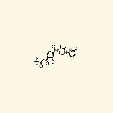 CC1C(C)N(c2cccc(Cl)n2)CCN1C(=O)c1ccc([S+]([O-])CC(=O)C(C)(F)F)c(Cl)c1